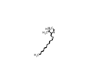 C=C/C=C/C=C/C/C=C/C=N\C=C(/N=C\C)C(C)C